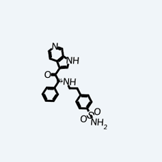 NS(=O)(=O)c1ccc(CCN[C@@H](C(=O)c2c[nH]c3cnccc23)c2ccccc2)cc1